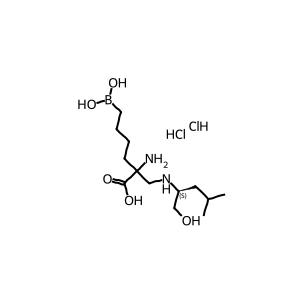 CC(C)C[C@@H](CO)NCC(N)(CCCCB(O)O)C(=O)O.Cl.Cl